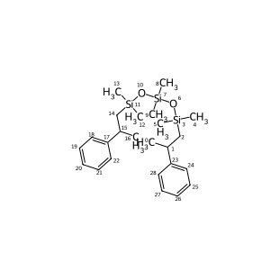 CC(C[Si](C)(C)O[Si](C)(C)O[Si](C)(C)CC(C)c1ccccc1)c1ccccc1